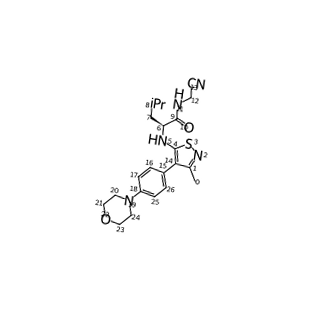 Cc1nsc(N[C@@H](CC(C)C)C(=O)NCC#N)c1-c1ccc(N2CCOCC2)cc1